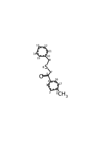 Cc1ccc(C(=O)CSCc2ccccc2)cc1